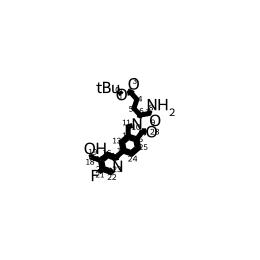 CC(C)(C)OC(=O)CCC(C(N)=O)N1Cc2cc(-c3cc(CO)c(F)cn3)ccc2C1=O